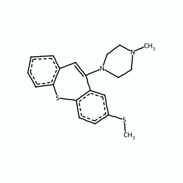 CSc1ccc2c(c1)C(N1CCN(C)CC1)=Cc1ccccc1S2